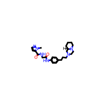 Cn1nccc1C(=O)NCC(=O)Nc1ccc(CCCN2CCN3CCCC[C@H]3C2)cc1